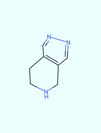 [c]1nncc2c1CCNC2